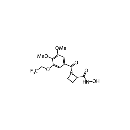 COc1cc(C(=O)N2CCC2C(=O)NO)cc(OCC(F)(F)F)c1OC